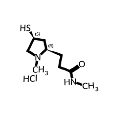 CNC(=O)CC[C@@H]1C[C@H](S)CN1C.Cl